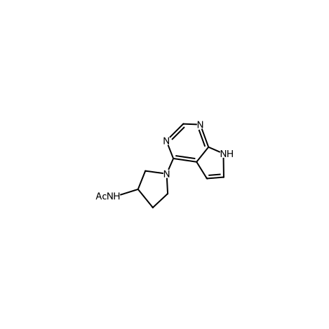 CC(=O)NC1CCN(c2ncnc3[nH]ccc23)C1